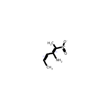 C/C=C\C(N)=C(/C)[N+](=O)[O-]